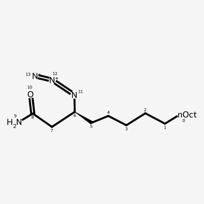 CCCCCCCCCCCCC[C@@H](CC(N)=O)N=[N+]=[N-]